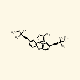 COC(C)(C)C#Cc1ccc2c(c1)[C@@]1(COC(N)=N1)c1cc(C#CC(C)(C)OC)cnc1O2